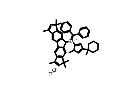 CC1=CC(C)(C)c2cc3c(cc21)-c1cc2c(cc1[CH]3[Zr+2]([C]1=CC(C3(C)CCCCC3)=CC1C)=[C](c1ccccc1)c1ccccc1)C(C)(C)C=C2C.[Cl-].[Cl-]